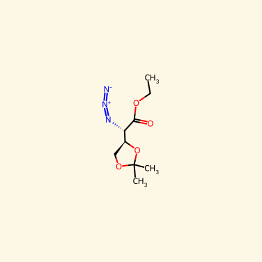 CCOC(=O)[C@@H](N=[N+]=[N-])[C@@H]1COC(C)(C)O1